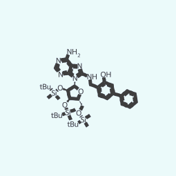 CC(C)(C)[Si](C)(C)OC[C@H]1O[C@@H](n2c(NCc3ccc(-c4ccccc4)cc3O)nc3c(N)ncnc32)[C@H](O[Si](C)(C)C(C)(C)C)[C@@H]1O[Si](C)(C)C(C)(C)C